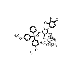 COc1ccc(C(OC[C@H]2O[C@@H](n3ccc(=O)[nH]c3=O)[C@@H](OC)C2O[Si](C)(C)C(C)(C)C)(c2ccccc2)c2ccc(OC)cc2)cc1